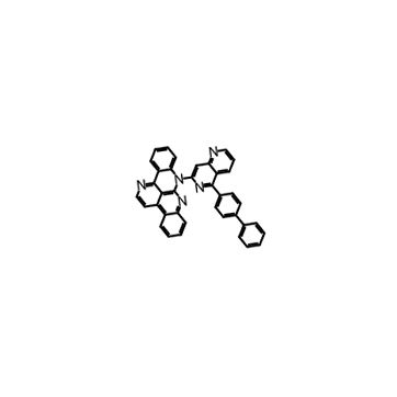 c1ccc(-c2ccc(-c3nc(N4c5ccccc5-c5nccc6c5c4nc4ccccc46)cc4ncccc34)cc2)cc1